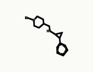 [CH2]CN1CCC(CNC2CC2c2ccccc2)CC1